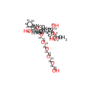 C=CC(=O)O.CC(O)COC(C)CO.CCCCCCCCCC(COCCOCCOCCOCCOCCO)OC(CCCCCCCCC)(CCCCCCCCC)C(O)(CCCCCCCCC)c1ccccc1